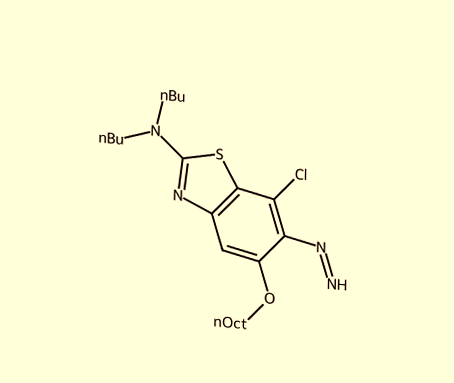 CCCCCCCCOc1cc2nc(N(CCCC)CCCC)sc2c(Cl)c1N=N